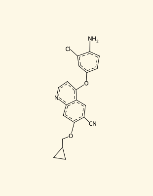 N#Cc1cc2c(Oc3ccc(N)c(Cl)c3)ccnc2cc1OCC1CC1